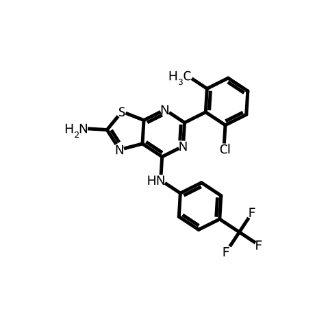 Cc1cccc(Cl)c1-c1nc(Nc2ccc(C(F)(F)F)cc2)c2nc(N)sc2n1